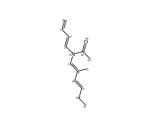 C=C/C=C/N(/C=C(C)/C=C/CC)C(C)=O